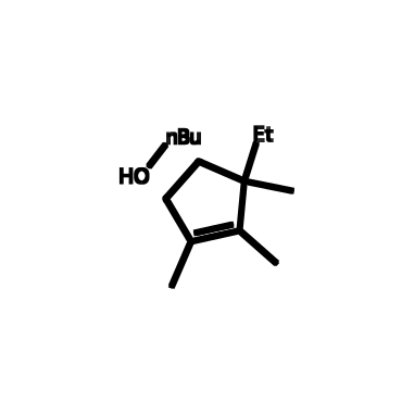 CCC1(C)CCC(C)=C1C.CCCCO